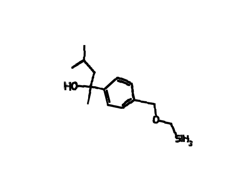 CC(C)CC(C)(O)c1ccc(COC[SiH3])cc1